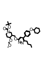 CCCCc1nnc(OCC2CN(C(=O)OC(C)(C)C)CCC2OCOC)cc1-c1ccc(OC2CCCCC2)cc1